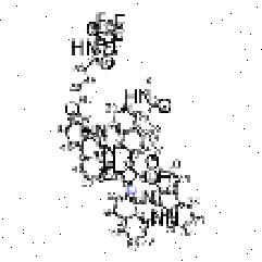 CNC(=O)CCCCOc1ccc2c(c1)C1(N=c3/c(=C4/C(=O)C(c5ccc6cccc7c6c5NC5(N7)c6ccccc6-c6ccc(OCCCCC(=O)NS(=O)(=O)C(F)(F)F)cc65)=C4O)ccc4cccc(c34)N1)c1ccccc1-2